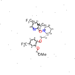 COCOc1cc(C(F)(F)F)ccc1OCC[C@H]1CCC[C@@H](C)N1Oc1ccc(C(F)(F)F)cn1